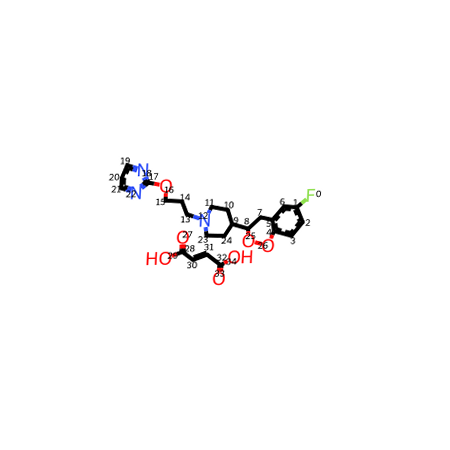 Fc1ccc2c(c1)CC(C1CCN(CCCOc3ncccn3)CC1)OO2.O=C(O)C=CC(=O)O